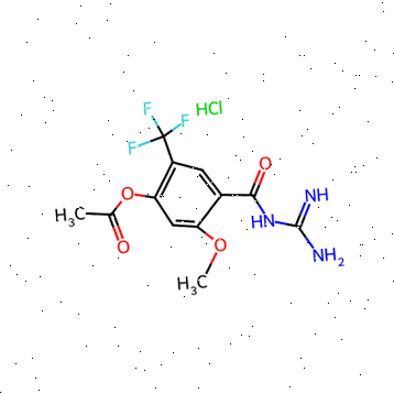 COc1cc(OC(C)=O)c(C(F)(F)F)cc1C(=O)NC(=N)N.Cl